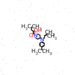 CC(C)=CCN(c1ccc(C(C)C)cc1)C1CCN(C(=O)[C@@H](O)CC(C)C)CC1